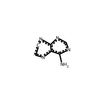 Nc1ncnc2nc[c]nc12